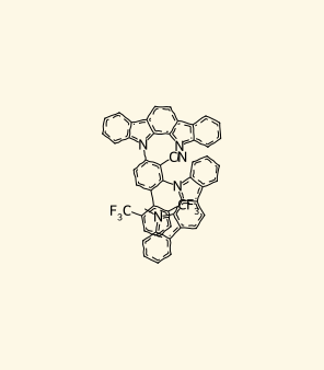 Cn1c2ccccc2c2ccc3c4ccccc4n(-c4ccc(-c5c(C(F)(F)F)cccc5C(F)(F)F)c(-n5c6ccccc6c6ccc7c8ccccc8n(C)c7c65)c4C#N)c3c21